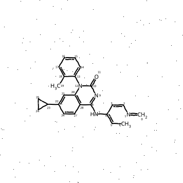 C=N/C=C\C(=C/C)Nc1nc(=O)n(-c2ccccc2C)c2cc(C3CC3)ccc12